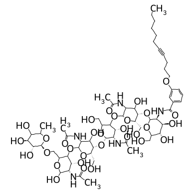 CCCCCCC#CCCCOc1cccc(C(=O)N[C@@H]2C(O[C@H]3C(O)C(NC(C)=O)C(OC4C(CO)O[C@@H](O[C@H]5C(O)C(NC(C)=O)C(OC6C(CO[C@@H]7OC(C)C(O)[C@H](O)[C@H]7O)OC(O)[C@@H](NC(C)=O)[C@H]6O)O[C@H]5CO)[C@@H](NC(C)=O)[C@H]4O)O[C@H]3CO)OC(CO)[C@@H](O)[C@@H]2O)c1